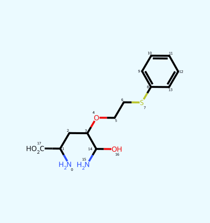 NC(CC(OCCSc1ccccc1)C(N)O)C(=O)O